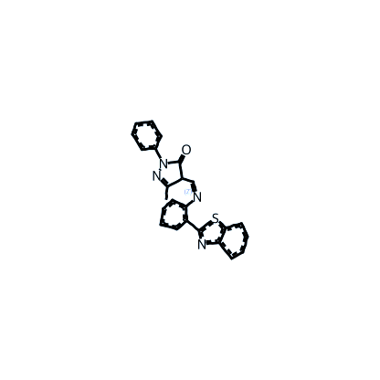 CC1=NN(c2ccccc2)C(=O)C1/C=N\c1ccccc1-c1nc2ccccc2s1